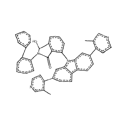 Cc1cnccc1-c1ccc2c3ccc(-c4ccncc4C)cc3n(-c3cccc4c3C(=O)N(c3ccccc3-c3ccccc3)C4O)c2c1